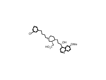 COc1ccc2nccc([C@@H](O)CC[C@@H]3CCN(CCCCc4cccc(Cl)c4)C[C@@H]3CC(=O)O)c2c1